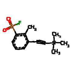 Cc1c(C#C[Si](C)(C)C)cccc1S(=O)(=O)F